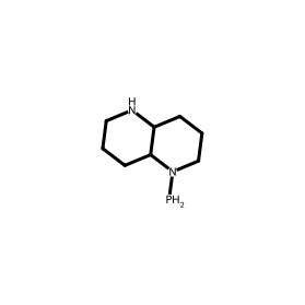 PN1CCCC2NCCCC21